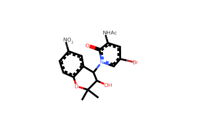 CC(=O)Nc1cc(Br)cn(C2c3cc([N+](=O)[O-])ccc3OC(C)(C)C2O)c1=O